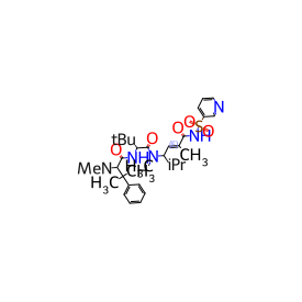 CNC(C(=O)NC(C(=O)N(C)C(/C=C(\C)C(=O)NS(=O)(=O)c1cccnc1)C(C)C)C(C)(C)C)C(C)(C)c1ccccc1